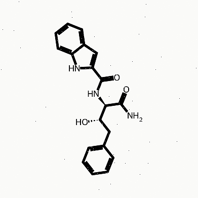 NC(=O)[C@H](NC(=O)c1cc2ccccc2[nH]1)[C@@H](O)Cc1ccccc1